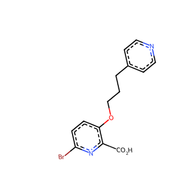 O=C(O)c1nc(Br)ccc1OCCCc1ccncc1